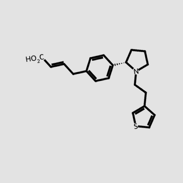 O=C(O)/C=C/Cc1ccc([C@@H]2CCCN2CCc2ccsc2)cc1